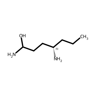 CCC[C@H](N)CCC(N)O